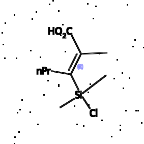 CCC/C(=C(/C)C(=O)O)[Si](C)(C)Cl